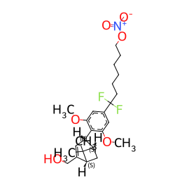 COc1cc(C(F)(F)CCCCCCO[N+](=O)[O-])cc(OC)c1[C@H]1C=C(CO)[C@H]2C[C@@H]1C2(C)C